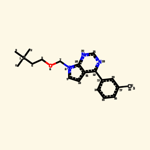 C[Si](C)(C)CCOCn1ccc2c(-c3cccc(C(F)(F)F)c3)ncnc21